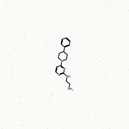 NCCNc1nccc(N2CCC(c3ccccc3)CC2)n1